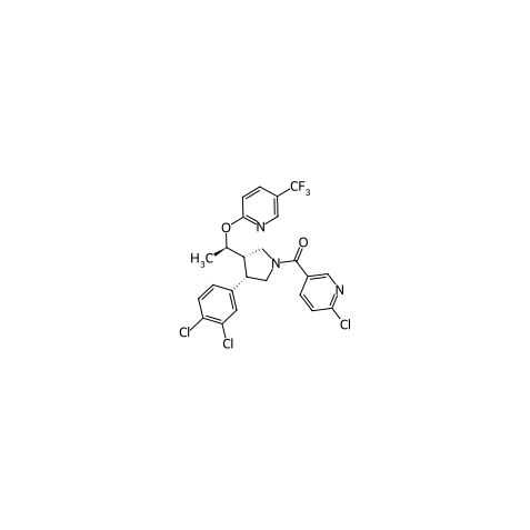 C[C@@H](Oc1ccc(C(F)(F)F)cn1)[C@@H]1CN(C(=O)c2ccc(Cl)nc2)C[C@@H]1c1ccc(Cl)c(Cl)c1